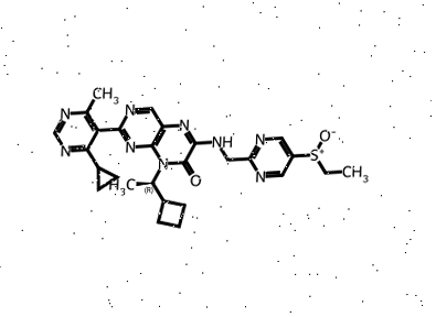 CC[S+]([O-])c1cnc(CNc2nc3cnc(-c4c(C)ncnc4C4CC4)nc3n([C@H](C)C3CCC3)c2=O)nc1